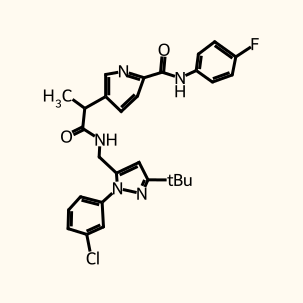 CC(C(=O)NCc1cc(C(C)(C)C)nn1-c1cccc(Cl)c1)c1ccc(C(=O)Nc2ccc(F)cc2)nc1